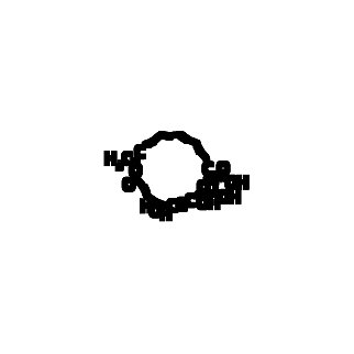 C[C@@H]1C/C=C/C=C/C=C/C=C/CC[C@@H]2O[C@](O)(CCC[C@H]3O[C@@H]3/C=C/C(=O)O1)C[C@H](O)[C@H]2C(=O)O